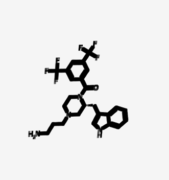 NCCCN1CCN(C(=O)c2cc(C(F)(F)F)cc(C(F)(F)F)c2)[C@H](Cc2c[nH]c3ccccc23)C1